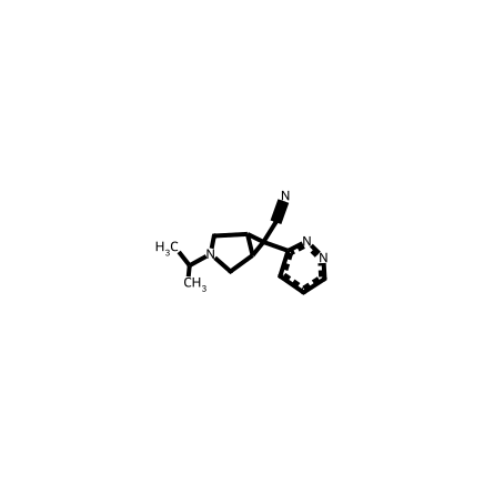 CC(C)N1CC2C(C1)C2(C#N)c1cccnn1